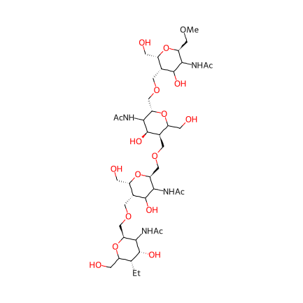 CC[C@@H]1C(CO)O[C@@H](COC[C@H]2C(O)C(NC(C)=O)[C@H](COC[C@@H]3C(CO)O[C@@H](COC[C@H]4C(O)C(NC(C)=O)[C@H](COC)O[C@H]4CO)C(NC(C)=O)[C@@H]3O)O[C@H]2CO)C(NC(C)=O)[C@@H]1O